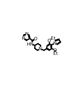 CCOc1cc(CN2CCC(NC(=O)c3cncnc3)CC2)cc(OCC)c1-n1cccc1